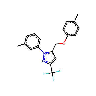 Cc1ccc(OCc2cc(C(F)(F)F)nn2-c2cccc(C)c2)cc1